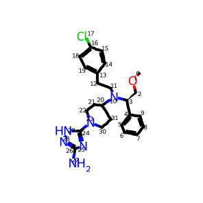 COC[C@@H](c1ccccc1)N(CCc1ccc(Cl)cc1)C1CCN(c2nc(N)n[nH]2)CC1